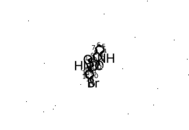 O=c1[nH]c2ccccc2cc1S(=O)(=O)Nc1ccc(Br)cc1